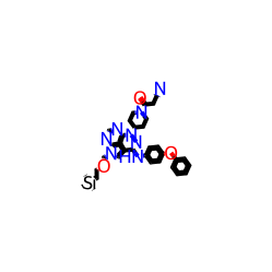 C[Si](C)(C)CCOCn1cc2c3c(ncnc31)N(C1CCN(C(=O)CC#N)CC1)N=C2Nc1ccc(Oc2ccccc2)cc1